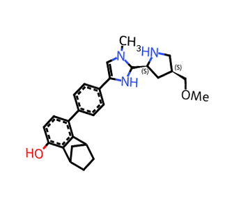 COC[C@@H]1CN[C@H](C2NC(c3ccc(-c4ccc(O)c5c4C4CCC5C4)cc3)=CN2C)C1